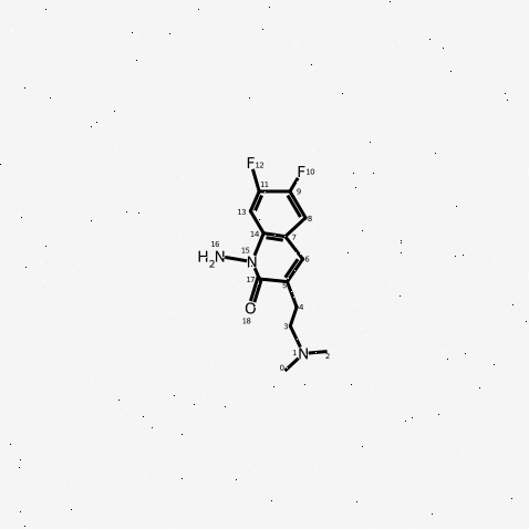 CN(C)CCc1cc2cc(F)c(F)cc2n(N)c1=O